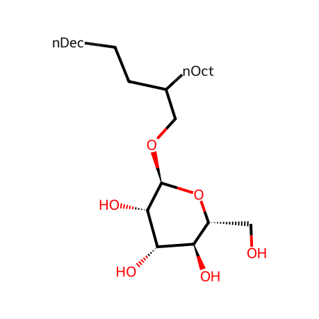 CCCCCCCCCCCCC(CCCCCCCC)CO[C@H]1O[C@H](CO)[C@@H](O)[C@H](O)[C@@H]1O